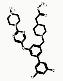 COC(=O)CC1CCN(Cc2cc(Oc3cnc(N4CCN(C)CC4)nc3)cc(-c3cc(Cl)cc(Cl)c3)c2)CC1